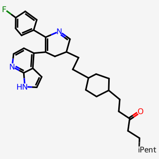 CCCC(C)CCC(=O)CCC1CCC(CCC2C=NC(c3ccc(F)cc3)=C(c3ccnc4[nH]ccc34)C2)CC1